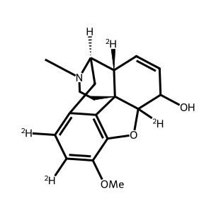 [2H]c1c([2H])c(OC)c2c3c1C[C@H]1N(C)CC[C@@]34C([2H])(O2)C(O)C=C[C@@]14[2H]